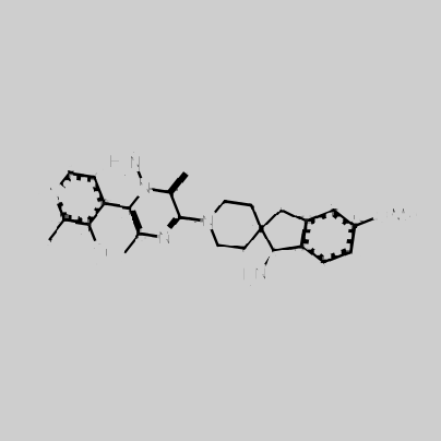 C=C1C(N2CCC3(CC2)Cc2cc(OC)ccc2[C@H]3N)=NC(C)=C(c2ccnc(C)c2Cl)N1N